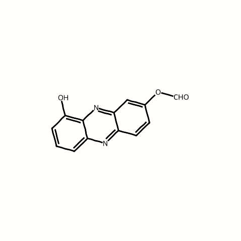 O=COc1ccc2nc3cccc(O)c3nc2c1